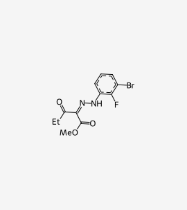 CCC(=O)C(=NNc1cccc(Br)c1F)C(=O)OC